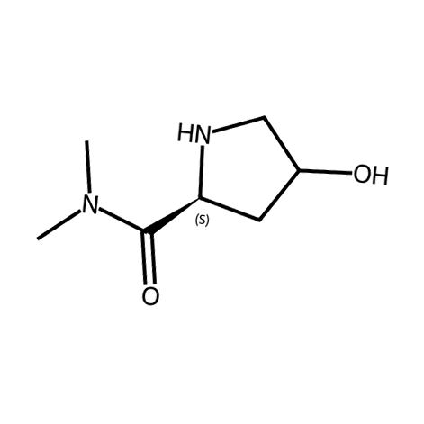 CN(C)C(=O)[C@@H]1CC(O)CN1